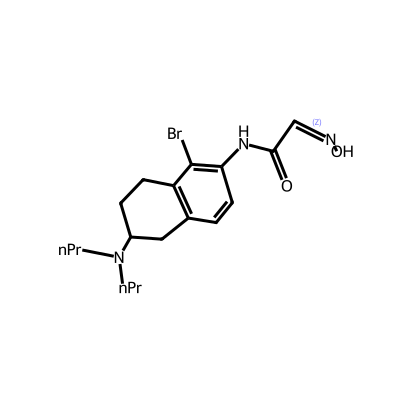 CCCN(CCC)C1CCc2c(ccc(NC(=O)/C=N\O)c2Br)C1